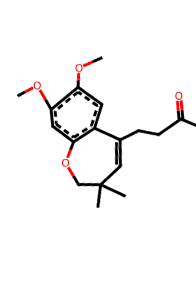 COc1cc2c(cc1OC)C(CCC(C)=O)=CC(C)(C)CO2